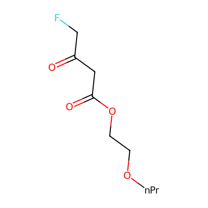 CCCOCCOC(=O)CC(=O)CF